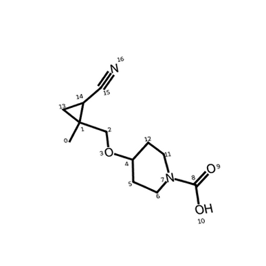 CC1(COC2CCN(C(=O)O)CC2)CC1C#N